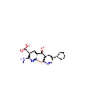 CNc1nc2oc3ncc(C4CCCC4)cc3c(=O)c2cc1C(=O)O